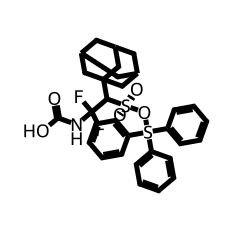 O=C(O)NC(F)(F)C(C12CC3CC(CC(C3)C1)C2)S(=O)(=O)OS(c1ccccc1)(c1ccccc1)c1ccccc1